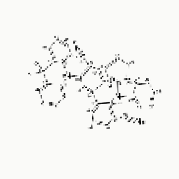 CC1(C)c2ccccc2N(c2cc(-c3cccc(C#N)c3-n3c4ccccc4c4ccccc43)ccc2C#N)c2ccccc21